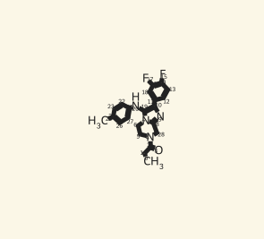 CCC(=O)N1CCn2c(nc(-c3ccc(F)c(F)c3)c2Nc2ccc(C)cc2)C1